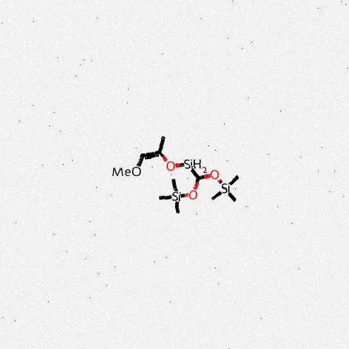 COC=C(C)O[SiH2]C(O[Si](C)(C)C)O[Si](C)(C)C